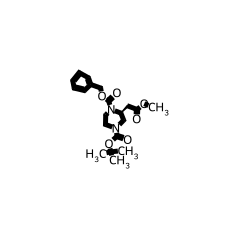 COC(=O)C[C@H]1CN(C(=O)OC(C)(C)C)CCN1C(=O)OCc1ccccc1